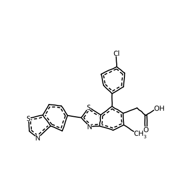 Cc1cc2nc(-c3ccc4scnc4c3)sc2c(-c2ccc(Cl)cc2)c1CC(=O)O